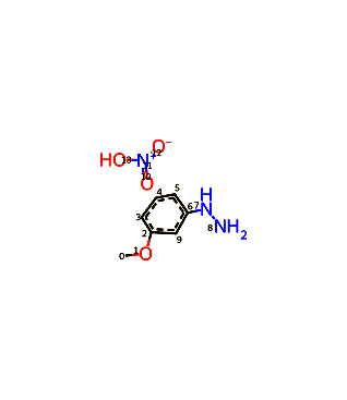 COc1cccc(NN)c1.O=[N+]([O-])O